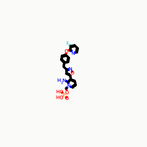 NC1C(c2cc(Cc3ccc(Oc4ncccc4F)cc3)no2)=CC=CN1COP(=O)(O)O